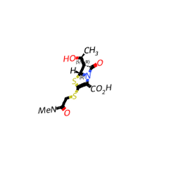 CNC(=O)CSC1=C(C(=O)O)N2C(=O)[C@@H]([C@H](C)O)[C@H]2S1